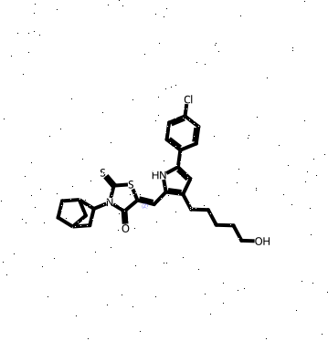 O=C1/C(=C/c2[nH]c(-c3ccc(Cl)cc3)cc2CCCCCO)SC(=S)N1C1CC2CCC1C2